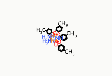 Cc1ccc(O[PH]2(Oc3ccc(C)cc3)N=P(N)(N)N[PH](Oc3ccc(C)cc3)(Oc3ccc(C)cc3)N2)cc1